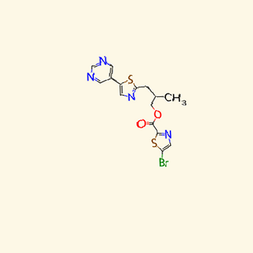 CC(COC(=O)c1ncc(Br)s1)Cc1ncc(-c2cncnc2)s1